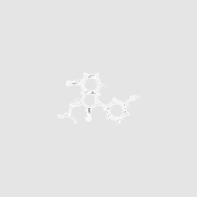 CN(C)/C=C1\C(=O)N(c2cccc(Cl)c2)c2cccc(Cl)c21